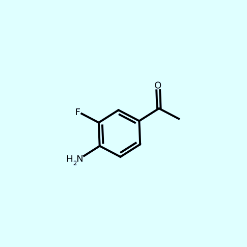 CC(=O)c1ccc(N)c(F)c1